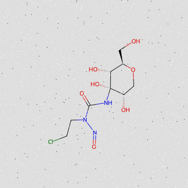 O=NN(CCCl)C(=O)N[C@@]1(O)[C@H](O)[C@@H](CO)OC[C@@H]1O